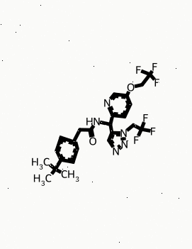 CC(C)(C)c1ccc(CC(=O)NC(c2ccc(OCC(F)(F)F)cn2)c2cnnn2CC(F)(F)F)cc1